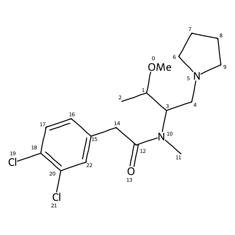 COC(C)C(CN1CCCC1)N(C)C(=O)Cc1ccc(Cl)c(Cl)c1